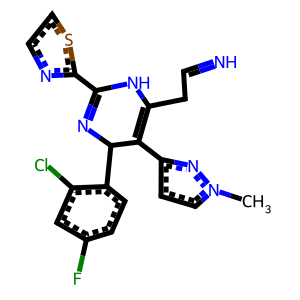 Cn1ccc(C2=C(CC=N)NC(c3nccs3)=NC2c2ccc(F)cc2Cl)n1